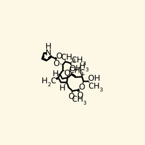 C=C1C[C@@H]2C[C@H](OC)C(=O)O[C@H]([C@@H](C)O)[C@H](C)/C=C(\C)[C@@]23C[C@@H]1[C@H]([C@H](OC(=O)c1ccc[nH]1)[C@H](C)[C@H](C)O)O3